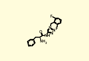 N[C@@H](Cc1ccccc1)C(=O)Nc1cn(Cc2c(F)cccc2F)nn1